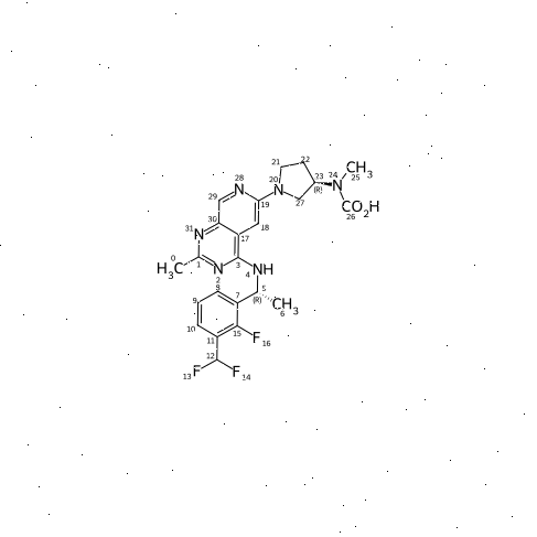 Cc1nc(N[C@H](C)c2cccc(C(F)F)c2F)c2cc(N3CC[C@@H](N(C)C(=O)O)C3)ncc2n1